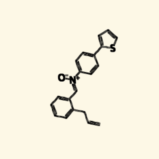 C=CCc1ccccc1C=[N+]([O-])c1ccc(-c2cccs2)cc1